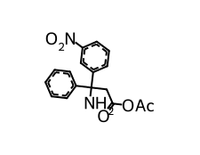 CC(=O)OC(=O)CC(N)(c1ccccc1)c1cccc([N+](=O)[O-])c1